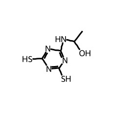 CC(O)Nc1nc(S)nc(S)n1